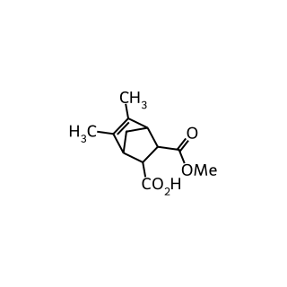 COC(=O)C1C2CC(C(C)=C2C)C1C(=O)O